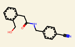 N#Cc1ccc(CNC(=O)Cc2ccccc2CO)cc1